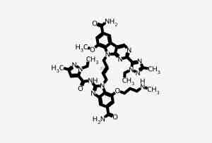 CCn1nc(C)cc1C(=O)Nc1nc2cc(C(N)=O)cc(OCCCNC)c2n1C/C=C/Cn1c2nc(-c3nc(C)nn3CC)ncc2c2cc(C(N)=O)cc(OC)c21